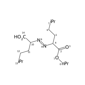 CCCOC(=O)C(CCC(C)C)N=NC(CCC(C)C)C(=O)O